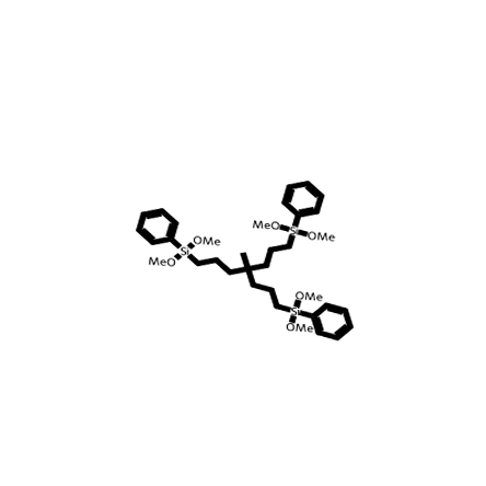 CO[Si](CCCC(C)(CCC[Si](OC)(OC)c1ccccc1)CCC[Si](OC)(OC)c1ccccc1)(OC)c1ccccc1